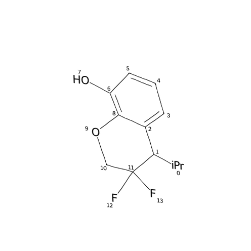 CC(C)C1c2cccc(O)c2OCC1(F)F